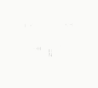 Cc1ccc(C(O)c2ccc(Cc3ccc(CO)[nH]3)s2)cc1